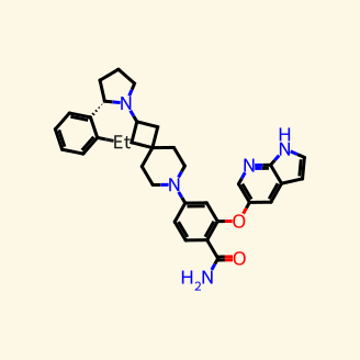 CCc1ccccc1[C@@H]1CCCN1C1CC2(CCN(c3ccc(C(N)=O)c(Oc4cnc5[nH]ccc5c4)c3)CC2)C1